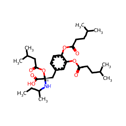 CCC(C)N[C@@](Cc1ccc(OC(=O)CCC(C)C)c(OC(=O)CCC(C)C)c1)(OC(=O)CC(C)C)C(=O)O